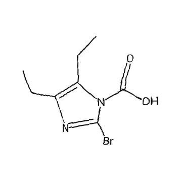 CCc1nc(Br)n(C(=O)O)c1CC